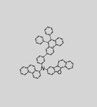 c1ccc(-c2c(-c3ccccc3)c3cc(-c4cccc(N(c5ccc6oc7c8ccccc8ccc7c6c5)c5cccc6c5ccc5ccccc56)c4)ccc3c3ccccc23)cc1